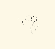 CN1CCN(c2cccc3c2OC(C(=O)O)CC3)C(F)C1